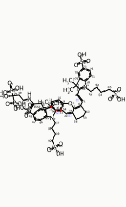 CC1(C)C(/C=C/C2=C(Oc3ccc(CCC(=O)NCCC(O)(P(=O)([O-])O)P(=O)(O)O)cc3)C(=C\C=C3/N(CCCCS(=O)(=O)O)c4ccc(S(=O)(=O)O)cc4C3(C)C)/CCC2)=[N+](CCCCS(=O)(=O)O)c2ccc(S(=O)(=O)O)cc21